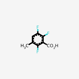 Cc1cc(F)c(F)c(C(=O)O)c1F